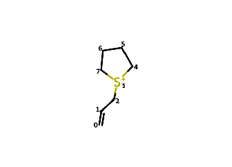 C=CC[S+]1CCCC1